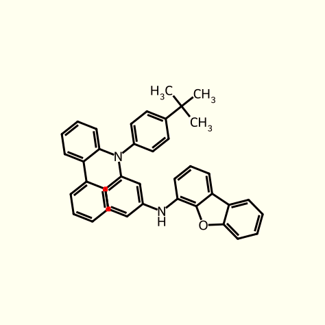 CC(C)(C)c1ccc(N(c2cccc(Nc3cccc4c3oc3ccccc34)c2)c2ccccc2-c2ccccc2)cc1